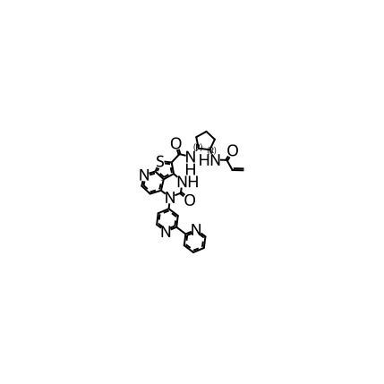 C=CC(=O)N[C@@H]1CCC[C@H]1NC(=O)c1sc2nccc3c2c1NC(=O)N3c1ccnc(-c2ccccn2)c1